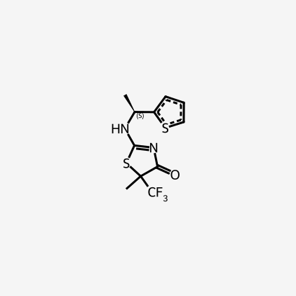 C[C@H](NC1=NC(=O)C(C)(C(F)(F)F)S1)c1cccs1